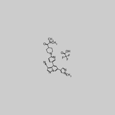 CN(C)C(=O)C1CCN(c2ccc(-c3cc(-c4cnn(C)c4)cn4ncc(C#N)c34)cn2)CC1.O=C(O)C(F)(F)F